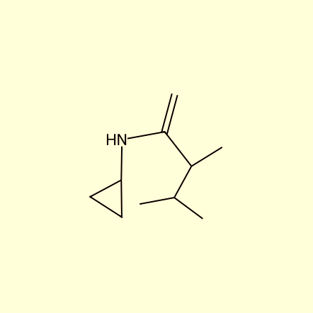 C=C(NC1CC1)C(C)C(C)C